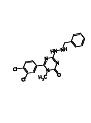 Cn1c(-c2ccc(Cl)c(Cl)c2)nc(NNCc2ccccc2)nc1=O